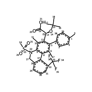 Cc1ccc(-c2c(C)c3c(c(C)c2[C@H](OC(C)(C)C)C(=O)O)N(S(C)(=O)=O)Cc2cccc(C(F)(F)F)c2-3)cc1